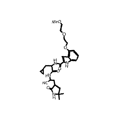 COCCOCCOc1cccc2[nH]c(C(=O)NC(CC3CC3)C(=O)NC(C#N)CC3CC(C)(C)NC3=O)cc12